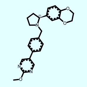 COc1ncc(-c2ccc(CN3CCC[C@H]3c3ccc4c(c3)OCCO4)cc2)cn1